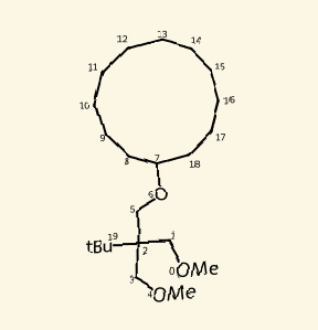 COCC(COC)(COC1CCCCCCCCCCC1)C(C)(C)C